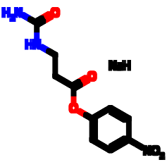 NC(=O)NCCC(=O)Oc1ccc([N+](=O)[O-])cc1.[NaH]